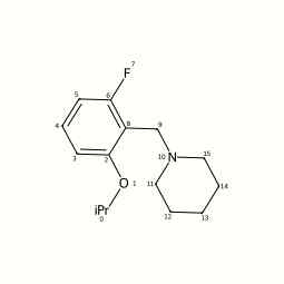 CC(C)Oc1cccc(F)c1CN1CCCCC1